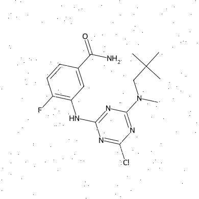 CN(CC(C)(C)C)c1nc(Cl)nc(Nc2cc(C(N)=O)ccc2F)n1